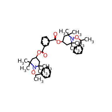 CC(ON1C(C)(C)CC(OC(=O)c2cccc(C(=O)OC3CC(C)(C)N(OC(C)c4ccccc4)C(C)(C)C3)c2)CC1(C)C)c1ccccc1